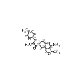 CC1OCc2c1c(N)nc1ccc(C(=O)N(C)Cc3ccc(C(F)(F)F)cn3)cc21